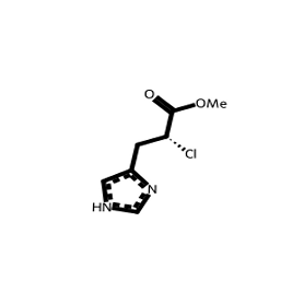 COC(=O)[C@H](Cl)Cc1c[nH]cn1